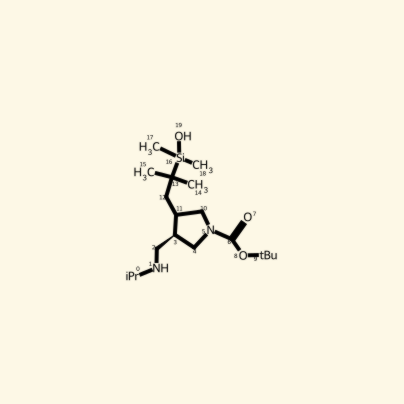 CC(C)NC[C@@H]1CN(C(=O)OC(C)(C)C)CC1CC(C)(C)[Si](C)(C)O